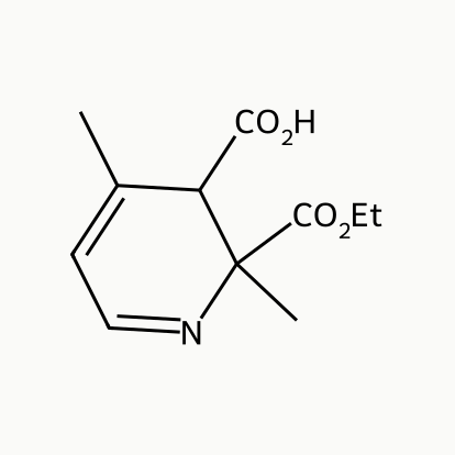 CCOC(=O)C1(C)N=CC=C(C)C1C(=O)O